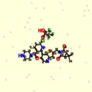 Cc1cc(Cl)nc(-c2ccnc3cc(CN4C(=O)C5C(C4=O)C5(C)C)sc23)c1C(=O)N1CCNCC1.O=C(O)C(F)(F)F